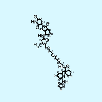 CN(CCOCCOCCOCCNC(=O)C1(Cc2cccc(Nc3nccs3)n2)CCCCC1)CC(=O)Nc1cccc2c1CN(C1CCC(=O)NC1=O)C2=O